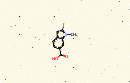 Cn1c(F)cc2ccc(C(=O)O)cc21